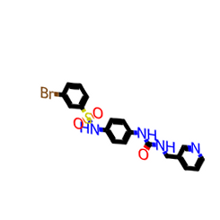 O=C(NCc1cccnc1)Nc1ccc(NS(=O)(=O)c2cccc(Br)c2)cc1